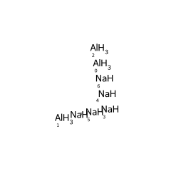 [AlH3].[AlH3].[AlH3].[NaH].[NaH].[NaH].[NaH].[NaH]